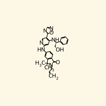 C=CCN1C(=O)c2ccc(Nc3cc(N[C@H](CO)c4ccccc4)c(-c4ncno4)cn3)cc2C1(C)C